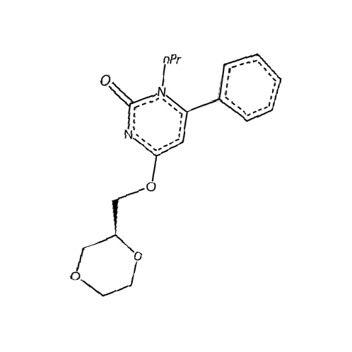 CCCn1c(-c2ccccc2)cc(OC[C@@H]2COCCO2)nc1=O